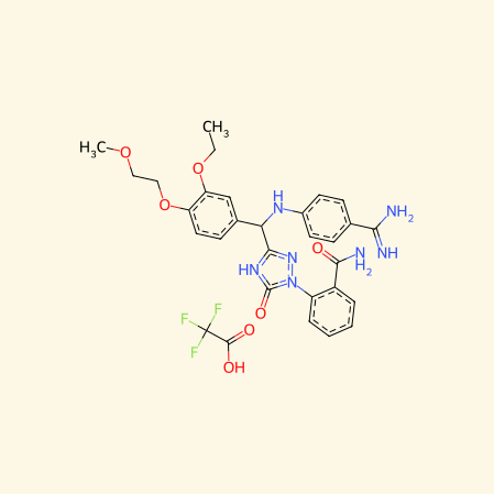 CCOc1cc(C(Nc2ccc(C(=N)N)cc2)c2nn(-c3ccccc3C(N)=O)c(=O)[nH]2)ccc1OCCOC.O=C(O)C(F)(F)F